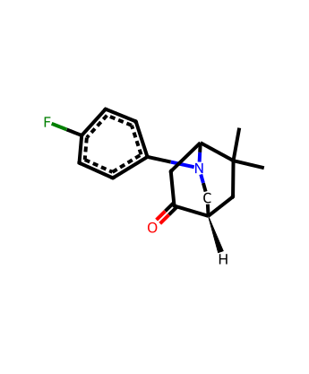 CC1(C)C[C@H]2CN(c3ccc(F)cc3)C1CC2=O